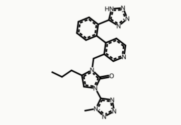 CCCc1cn(-c2nnnn2C)c(=O)n1Cc1cnccc1-c1ccccc1-c1nnn[nH]1